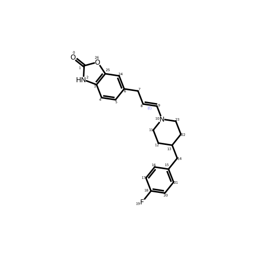 O=c1[nH]c2ccc(C/C=C/N3CCC(Cc4ccc(F)cc4)CC3)cc2o1